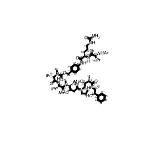 CC[C@H](C)[C@@H]([C@@H](CC(=O)N1CCC[C@H]1[C@H](OC)[C@@H](C)C(=O)N[C@H](C)[C@@H](O)c1ccccc1)OC)N(C)C(=O)[C@@H](NC(=O)[C@H](C(C)C)N(C)C(=O)OCc1ccc(NC(=O)[C@@H](CCCNC(N)=O)NC(=O)[C@H](NC(C)=O)C(C)C)cc1)C(C)C